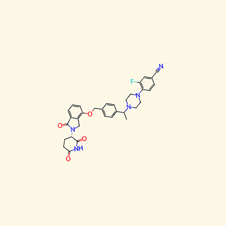 CC(c1ccc(COc2cccc3c2CN([C@H]2CCC(=O)NC2=O)C3=O)cc1)N1CCN(c2ccc(C#N)cc2F)CC1